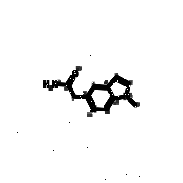 Cn1ccc2cc(CC(N)=O)ncc21